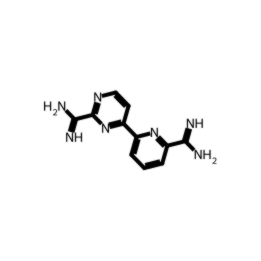 N=C(N)c1cccc(-c2ccnc(C(=N)N)n2)n1